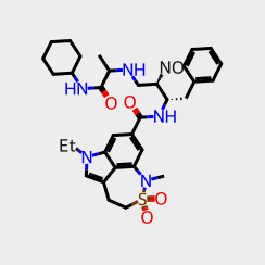 CCn1cc2c3c(cc(C(=O)N[C@@H](Cc4ccccc4)[C@@H](CNC(C)C(=O)NC4CCCCC4)N=O)cc31)N(C)S(=O)(=O)CC2